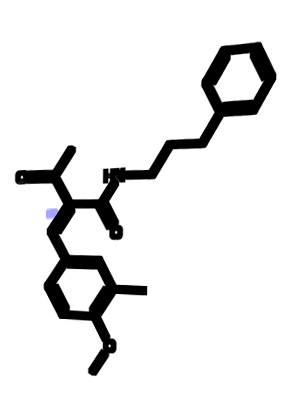 COc1ccc(/C=C(/C(C)=O)C(=O)NCCCc2ccccc2)cc1C